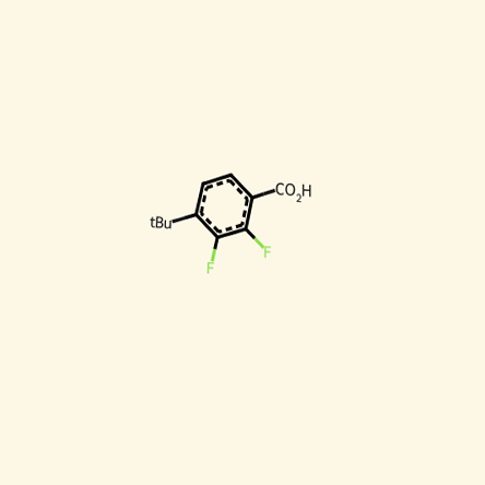 CC(C)(C)c1ccc(C(=O)O)c(F)c1F